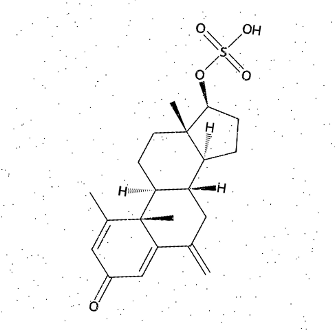 C=C1C[C@@H]2[C@H](CC[C@]3(C)[C@@H](OS(=O)(=O)O)CC[C@@H]23)[C@@]2(C)C(C)=CC(=O)C=C12